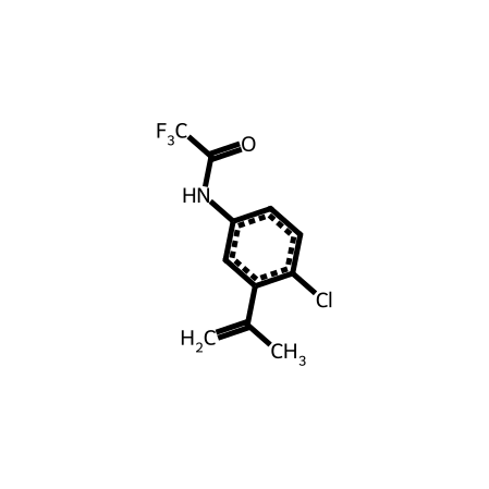 C=C(C)c1cc(NC(=O)C(F)(F)F)ccc1Cl